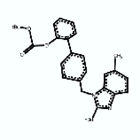 CCCCc1nc2ccc(C)cc2n1Cc1ccc(-c2ccccc2OC(=O)OC(C)(C)C)cc1